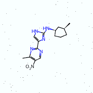 Cc1nc(-c2c[nH]c(N[C@@H]3CCC[C@H](C)C3)n2)ncc1[N+](=O)[O-]